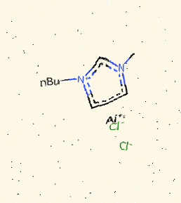 CCCC[n+]1ccn(C)c1.[Al+].[Cl-].[Cl-]